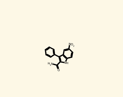 NC(=O)c1[nH]c2ccc([N+](=O)[O-])cc2c1-c1ccccc1